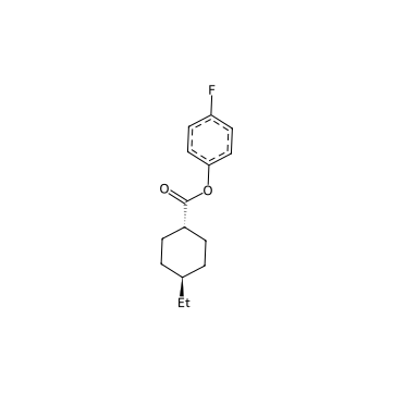 CC[C@H]1CC[C@H](C(=O)Oc2ccc(F)cc2)CC1